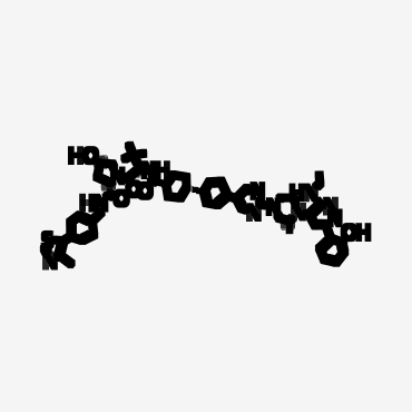 CCNc1nnc(-c2ccccc2O)cc1N1CCN(c2ncc(-c3ccc([C@H]4CC[C@H](C(=O)N[C@H](C(=O)N5C[C@H](O)C[C@H]5C(=O)NCc5ccc(-c6scnc6C)cc5)C(C)(C)C)CC4)cc3)cn2)C[C@@H]1C